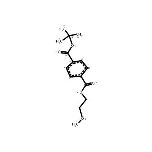 COCCOC(=O)c1ccc(C(=O)OC(C)(C)C)cc1